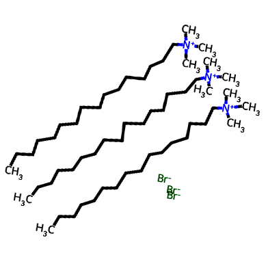 CCCCCCCCCCCCCCCC[N+](C)(C)C.CCCCCCCCCCCCCCCC[N+](C)(C)C.CCCCCCCCCCCCCCCC[N+](C)(C)C.[Br-].[Br-].[Br-]